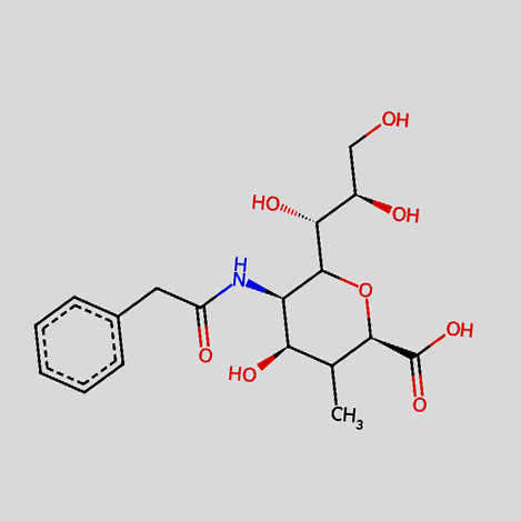 CC1[C@@H](O)[C@@H](NC(=O)Cc2ccccc2)C([C@H](O)[C@H](O)CO)O[C@H]1C(=O)O